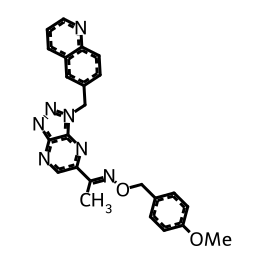 COc1ccc(CON=C(C)c2cnc3nnn(Cc4ccc5ncccc5c4)c3n2)cc1